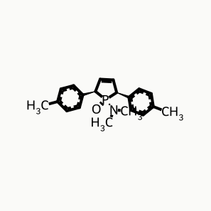 Cc1ccc([C@H]2C=C[C@@H](c3ccc(C)cc3)[P@]2(=O)N(C)C)cc1